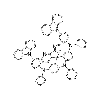 c1ccc(N(c2ccc(-n3c4ccccc4c4ccccc43)cc2)c2ccc3c(c2)C2(c4cc(N(c5ccccc5)c5ccc(-n6c7ccccc7c7ccccc76)cc5)ccc4N3c3ccccc3)c3cccnc3-c3ncccc32)cc1